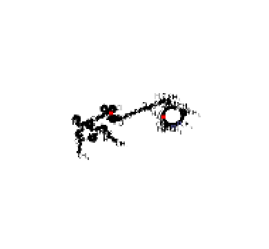 CCCCCC(=O)Nc1cccc(CN(Cc2cc(CN(Cc3ccccn3)Cc3cccc(NC(=O)CCCCC)n3)cc(OCCCCN(Cc3ccc(C(=O)NCCOCCOCCNC(=O)CCSSCCC(=O)N(C)[C@H](C)C(=O)O[C@H]4CC(=O)N(C)c5cc(cc(OC)c5Cl)C/C(C)=C/C=C\[C@@]5(OC)[C@H](O)[C@@]56C[C@@H](OC(=O)N6)[C@H](C)C5O[C@@]54C)cc3)C(=O)C3(c4ccc(Cl)cc4)CCCCC3)c2)Cc2ccccn2)n1